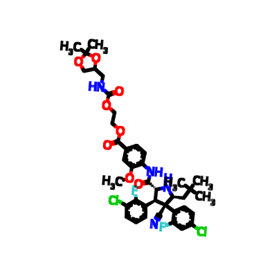 COc1cc(C(=O)OCCOC(=O)NCC2COC(C)(C)O2)ccc1NC(=O)[C@@H]1N[C@@H](CC(C)(C)C)[C@](C#N)(c2ccc(Cl)cc2F)[C@H]1c1cccc(Cl)c1F